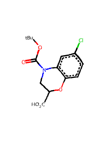 CC(C)(C)OC(=O)N1CC(C(=O)O)Oc2ccc(Cl)cc21